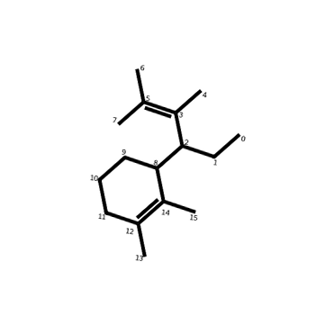 CCC(C(C)=C(C)C)C1CCCC(C)=C1C